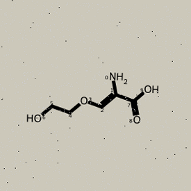 NC(=COCCO)C(=O)O